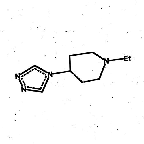 CCN1CCC(n2cnnc2)CC1